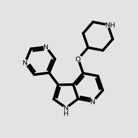 c1ncc(-c2c[nH]c3nccc(OC4CCNCC4)c23)cn1